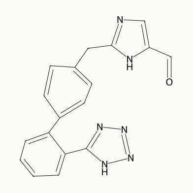 O=Cc1cnc(Cc2ccc(-c3ccccc3-c3nnn[nH]3)cc2)[nH]1